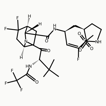 CC(C)(C)[C@H](NC(=O)C(F)(F)F)C(=O)N1[C@H]2CC[C@@H]([C@@H]1C(=O)N[C@H](/C=C(/F)S(C)(=O)=O)C[C@H]1CCNC1=O)C(F)(F)C2